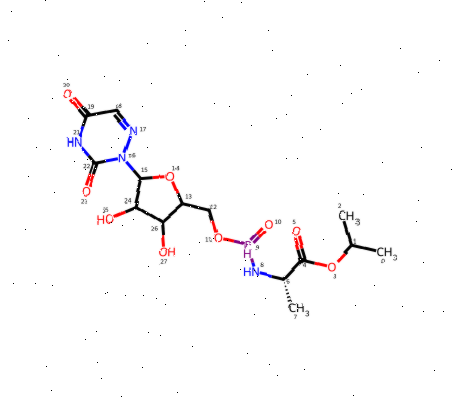 CC(C)OC(=O)[C@H](C)N[PH](=O)OCC1OC(n2ncc(=O)[nH]c2=O)C(O)C1O